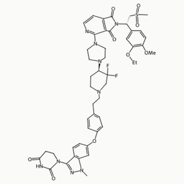 CCOc1cc([C@@H](CS(C)(=O)=O)N2C(=O)c3ccnc(N4CCN([C@@H]5CCN(CCc6ccc(Oc7ccc8c(N9CCC(=O)NC9=O)nn(C)c8c7)cc6)CC5(F)F)CC4)c3C2=O)ccc1OC